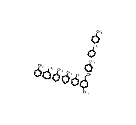 Cc1ccc(CO)cc1.Cc1ccccc1.Cc1ccccc1.Cc1ccccc1.Cc1ccccc1.Cc1ccccc1.Cc1ccccc1.Cc1ccccc1.Cc1ccccc1